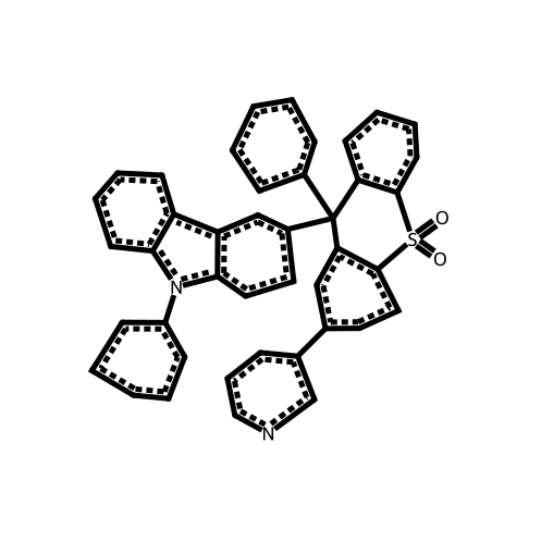 O=S1(=O)c2ccccc2C(c2ccccc2)(c2ccc3c(c2)c2ccccc2n3-c2ccccc2)c2cc(-c3cccnc3)ccc21